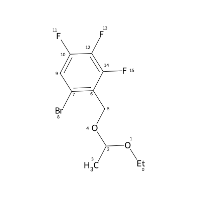 CCOC(C)OCc1c(Br)cc(F)c(F)c1F